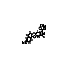 Cc1nn(C(=O)OC(C)(C)C)c2ccc(OC3CCCc4cc(C#N)ccc43)cc12